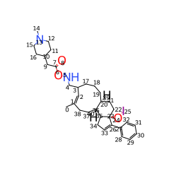 C/C1=C\C(CNOC(=O)CC2CCN(C)CC2)CCC[C@H]2CC[C@]3(OI)C(c4ccccc4)=CCC3[C@@H]2CC1